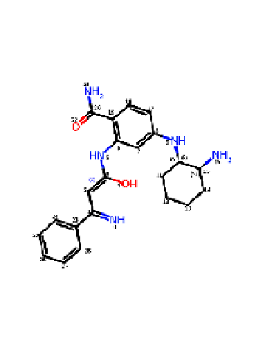 N=C(/C=C(\O)Nc1cc(N[C@@H]2CCCC[C@@H]2N)ccc1C(N)=O)c1ccccc1